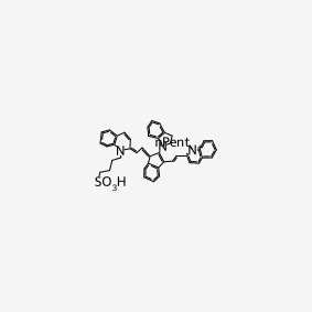 CCCCC[n+]1c(/C=C/C2=C(N3CCc4ccccc43)C(=C/C=C3\C=Cc4ccccc4N3CCCCS(=O)(=O)O)/c3ccccc32)ccc2ccccc21